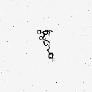 CCn1cc(Cl)c(C(=O)N2CCN(CCc3ccc(F)cc3)CC2)n1